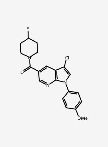 COc1ccc(-n2cc(Cl)c3cc(C(=O)N4CCC(F)CC4)cnc32)cc1